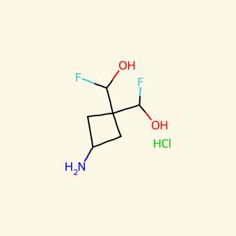 Cl.NC1CC(C(O)F)(C(O)F)C1